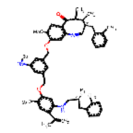 C=C(C)c1cc(OC)c(OCc2cc(COc3cc4c(cc3OC)C(=O)C(C)C(C)[C@@H](Cc3ccccc3C)/C=N\4)cc(NC(C)CC)c2)cc1NC[C@@H](C)Cc1ccccc1C